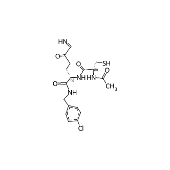 CC(=O)N[C@@H](CS)C(=O)N[C@@H](CCC(=O)C=N)C(=O)NCc1ccc(Cl)cc1